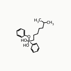 CC(C)CCCCCP(O)(O)(Oc1ccccc1)c1ccccc1